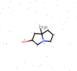 CCOC(=O)C12CCCN1CC(O)C2